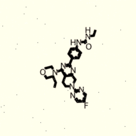 CCNC(=O)Nc1ccc(-c2nc3c(c(N4CCOCC4CC)n2)CCN(c2ncc(F)cn2)C3)cc1